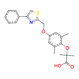 Cc1cc(OCc2nc(-c3ccccc3)cs2)cc(C)c1OC(C)(C)C(=O)O